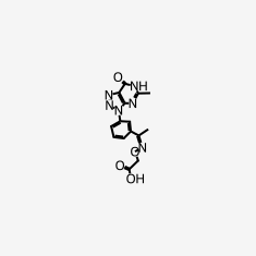 C/C(=N/OCC(=O)O)c1cccc(-n2nnc3c(=O)[nH]c(C)nc32)c1